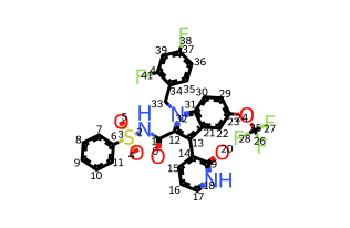 O=C(NS(=O)(=O)c1ccccc1)c1c(-c2ccc[nH]c2=O)c2cc(OC(F)(F)F)ccc2n1Cc1ccc(F)cc1F